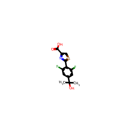 CC(C)(O)c1cc(F)c(-c2nc(C(=O)O)cs2)c(F)c1